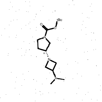 CN(C)C1CN([C@@H]2CCN(C(=O)OC(C)(C)C)C2)C1